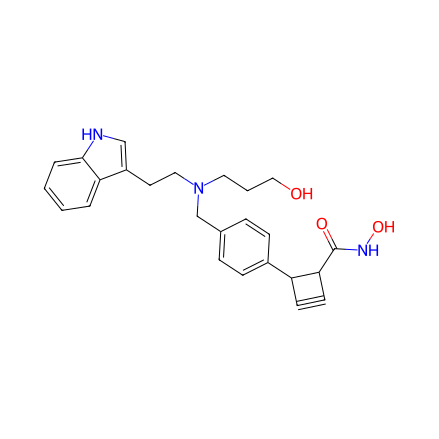 O=C(NO)C1C#CC1c1ccc(CN(CCCO)CCc2c[nH]c3ccccc23)cc1